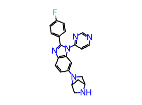 Fc1ccc(-c2nc3ccc(N4CC5CC4CN5)cc3n2-c2ccncn2)cc1